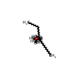 CCCCCCCC/C=C\CCCCCCCC(=O)C(OC(C(O)CO)P(=O)(O)O)(C(=O)CCCCCCCCCCCCCCC)[C@@H](O)CO